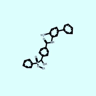 CCOP(=O)(c1ccccc1)C(O)c1ccc(C(=O)Nc2cc(-c3ccccc3)ccc2N)cc1